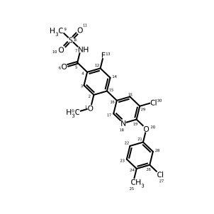 COc1cc(C(=O)NS(C)(=O)=O)c(F)cc1-c1cnc(Oc2ccc(C)c(Cl)c2)c(Cl)c1